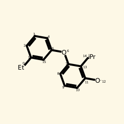 CCc1cccc(Oc2cccc([O])c2C(C)C)c1